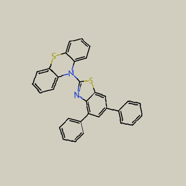 c1ccc(-c2cc(-c3ccccc3)c3nc(N4c5ccccc5Sc5ccccc54)sc3c2)cc1